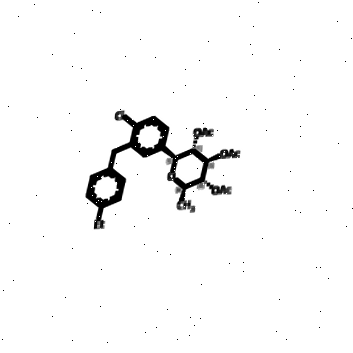 CCc1ccc(Cc2cc([C@@H]3O[C@H](C)[C@@H](OC(C)=O)[C@H](OC(C)=O)[C@H]3OC(C)=O)ccc2Cl)cc1